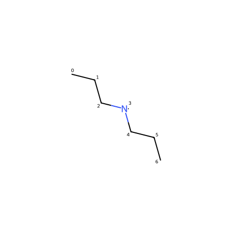 CCC[N]CCC